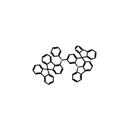 c1ccc(N(c2ccc3c(c2)-n2c4ccccc4c4cccc(c42)C32c3ccccc3-c3ccccc32)c2cccc3c2-c2ccccc2C32c3ccccc3-c3ccccc32)cc1